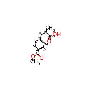 COC(=O)c1ccc(CC(C)C(=O)O)cc1